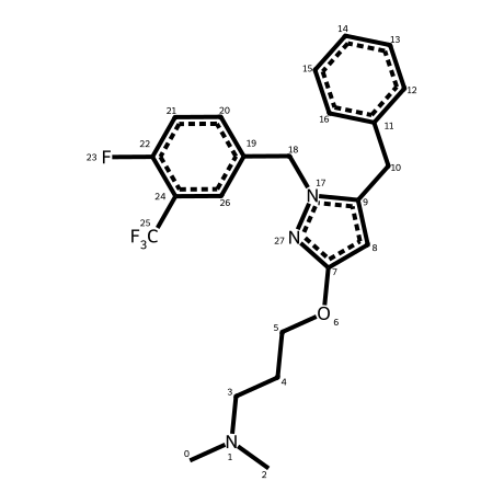 CN(C)CCCOc1cc(Cc2ccccc2)n(Cc2ccc(F)c(C(F)(F)F)c2)n1